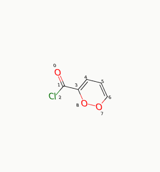 O=C(Cl)C1=CC=COO1